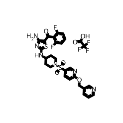 Nc1nc(NC2CCN(S(=O)(=O)c3ccc(OCc4cccnc4)nc3)CC2)sc1C(=O)c1c(F)cccc1F.O=C(O)C(F)(F)F